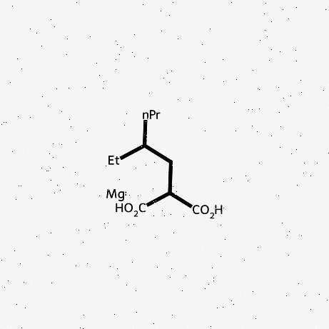 CCCC(CC)CC(C(=O)O)C(=O)O.[Mg]